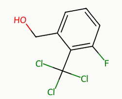 OCc1cccc(F)c1C(Cl)(Cl)Cl